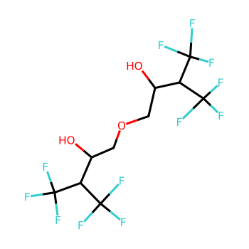 OC(COCC(O)C(C(F)(F)F)C(F)(F)F)C(C(F)(F)F)C(F)(F)F